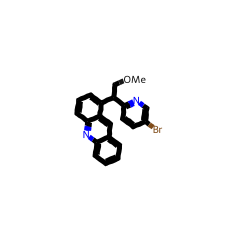 COCC(c1ccc(Br)cn1)c1cccc2nc3ccccc3cc12